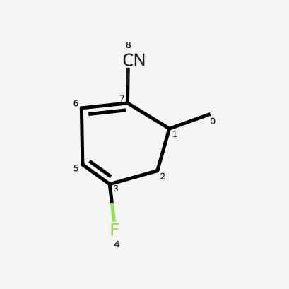 CC1CC(F)=CC=C1C#N